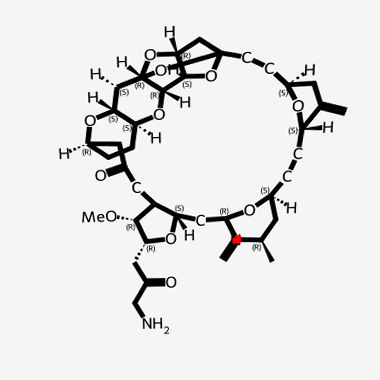 C=C1C[C@@H]2CCC34C[C@H]5O[C@H]6[C@@H](O3)[C@H]3O[C@H](CC[C@@H]3O[C@H]6[C@H]5O4)CC(=O)CC3[C@H](C[C@H]4O[C@@H](CC[C@@H]1O2)C[C@@H](C)C4=C)O[C@H](CC(=O)CN)[C@@H]3OC